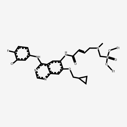 CCOP(=O)(CN(C)CC=CC(=O)Nc1cc2c(Nc3ccc(F)c(Cl)c3)ncnc2cc1OCC1CC1)OCC